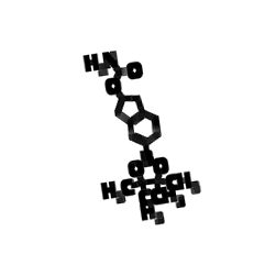 CC1(C)OB(c2ccc3c(c2)CC(OC(N)=O)C3)OC1(C)C